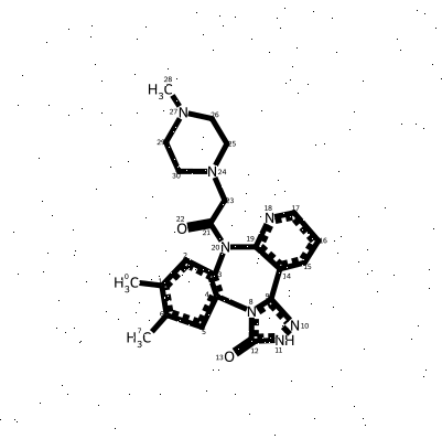 Cc1cc2c(cc1C)-n1c(n[nH]c1=O)-c1cccnc1N2C(=O)CN1CCN(C)CC1